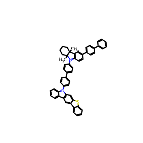 CC12CCCCC1(C)N(c1ccc(-c3ccc(-n4c5ccccc5c5cc6c(cc54)sc4ccccc46)cc3)cc1)c1ccc(-c3ccc(-c4ccccc4)cc3)cc12